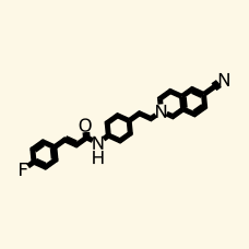 N#Cc1ccc2c(c1)CCN(CCC1CCC(NC(=O)/C=C/c3ccc(F)cc3)CC1)C2